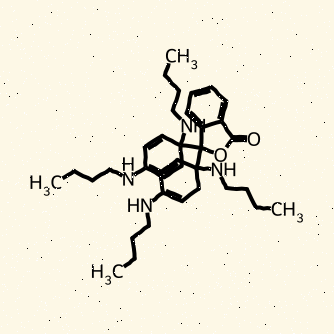 CCCCNC1=CCC(NCCCC)(C2(C3(NCCCC)C=CC(NCCCC)=CC3)OC(=O)c3ccccc32)C=C1